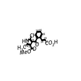 COC(=O)c1c(C)[nH]c(C)c1C(=O)c1ccccc1C=CC(=O)O